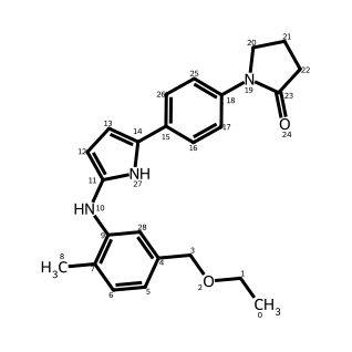 CCOCc1ccc(C)c(Nc2ccc(-c3ccc(N4CCCC4=O)cc3)[nH]2)c1